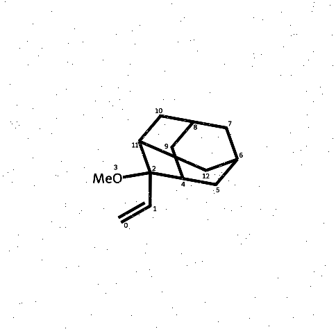 C=CC1(OC)C2CC3CC(C2)CC1C3